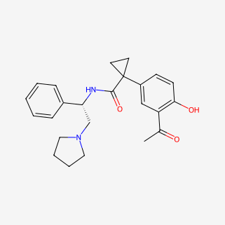 CC(=O)c1cc(C2(C(=O)N[C@H](CN3CCCC3)c3ccccc3)CC2)ccc1O